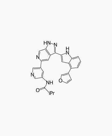 CC(C)C(=O)Nc1cncc(-c2cc3c(-c4cc5c(-c6ccoc6)cccc5[nH]4)n[nH]c3cn2)c1